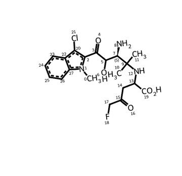 Cn1c(C(=O)C(O)[C@@H](N)C(C)(C)NC(CC(=O)CF)C(=O)O)c(Cl)c2ccccc21